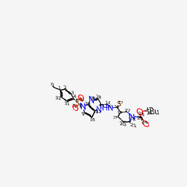 Cc1ccc(S(=O)(=O)n2ccc3nc(CNC(=S)C4CCCN(C(=O)OC(C)(C)C)C4)cnc32)cc1